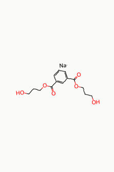 O=C(OCCCO)c1cccc(C(=O)OCCCO)c1.[Na]